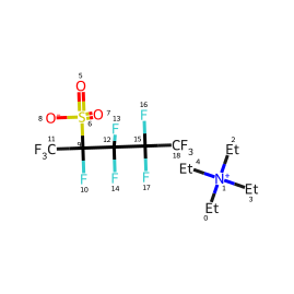 CC[N+](CC)(CC)CC.O=S(=O)([O-])C(F)(C(F)(F)F)C(F)(F)C(F)(F)C(F)(F)F